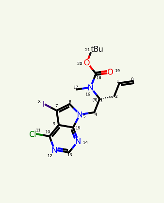 C=CC[C@H](Cn1cc(I)c2c(Cl)ncnc21)N(C)C(=O)OC(C)(C)C